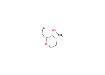 CC(C)CC1CCCCO1.[OH][AlH2]